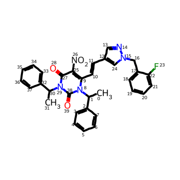 CC(c1ccccc1)n1c(C=Cc2cnn(Cc3ccccc3F)c2)c([N+](=O)[O-])c(=O)n(C(C)c2ccccc2)c1=O